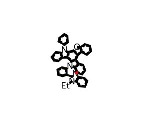 CCn1c(-c2ccccc2-n2c3ccccc3c3c4c5ccccc5oc4c4c(c5ccccc5n4-c4ccccc4)c32)nc2ccccc21